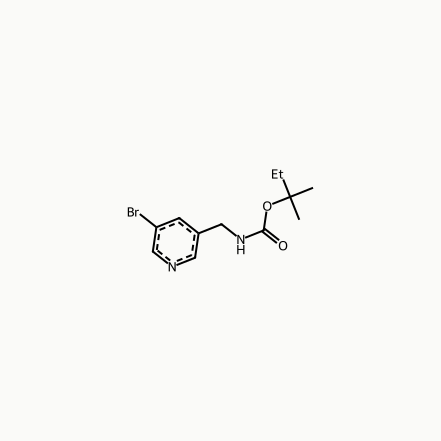 CCC(C)(C)OC(=O)NCc1cncc(Br)c1